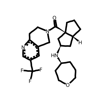 O=C(N1CCc2ncc(C(F)(F)F)cc2C1)[C@@]12CCC[C@@H]1C[C@@H](N[C@H]1CCCOCC1)C2